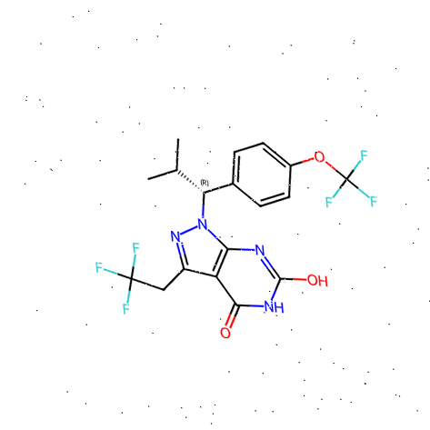 CC(C)[C@H](c1ccc(OC(F)(F)F)cc1)n1nc(CC(F)(F)F)c2c(=O)[nH]c(O)nc21